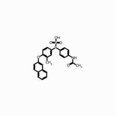 CC(=O)Nc1ccc(N(c2ccc(Oc3ccc4ccccc4c3)c(C)c2)S(=O)(=O)O)cc1